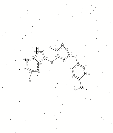 COc1ccc(Cc2[c]nc(C)c(Cc3c[nH]c4ncc(C)cc34)c2)cn1